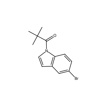 CC(C)(C)C(=O)n1ccc2cc(Br)ccc21